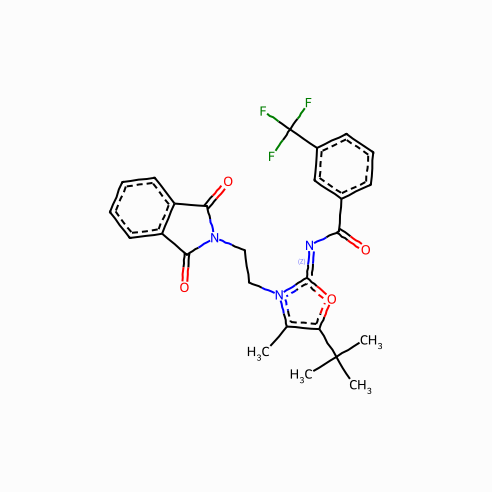 Cc1c(C(C)(C)C)o/c(=N\C(=O)c2cccc(C(F)(F)F)c2)n1CCN1C(=O)c2ccccc2C1=O